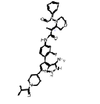 C/C(C(=O)Nc1ccc(-c2cc(C3CCN(C(=O)C(C)C)CC3)n3c2C(N)NN3)c(F)c1)=C1/COCCN1N(C=O)c1ccccc1